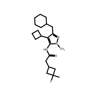 Cn1nc(CC2CCCCC2)c(C2CCC2)c1NC(=O)CC1CC(F)(F)C1